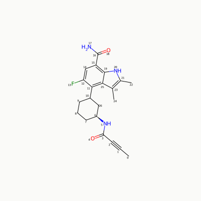 CC#CC(=O)N[C@H]1CCCC(c2c(F)cc(C(N)=O)c3[nH]c(C)c(C)c23)C1